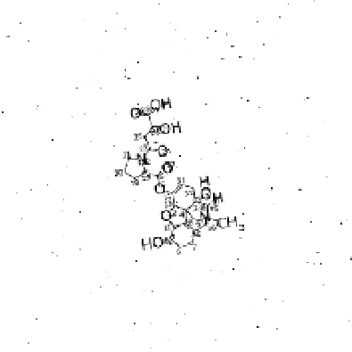 CN1CCC23c4c5ccc(O)c4OC2C(OC(=O)[C@@H]2CCCN2C(=O)C[C@H](O)C(=O)O)=CC[C@@]3(O)[C@H]1C5